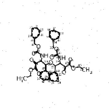 CCOC(=O)C(=O)C(NC(=O)OCc1ccccc1)C(OC(c1ccccc1)C(NC(=O)OCc1ccccc1)C(=O)C(=O)OCC)c1ccccc1